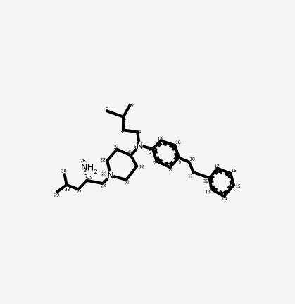 CC(C)CCN(c1ccc(CCc2ccccc2)cc1)C1CCN(C[C@@H](N)CC(C)C)CC1